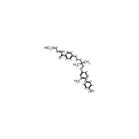 Cc1cc(OCC(C)(C)CCCc2ccc(C(=O)NCCC(=O)O)cc2)cnc1-c1ccc(C(C)C)cc1